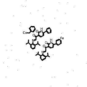 CC(C)c1cccc(C(C)C)c1N=CC(=O)c1ccc(-c2ccccc2)[nH]c1=O.CC(C)c1cccc(C(C)C)c1N=CC(=O)c1ccc(-c2ccccc2)[nH]c1=O.[Co][CH2]c1ccccc1.[Fe]